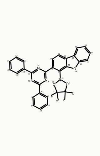 CC1(C)OB(c2c(-c3nc(-c4ccccc4)nc(-c4ccccc4)n3)ccc3c2oc2ccccc23)OC1(C)C